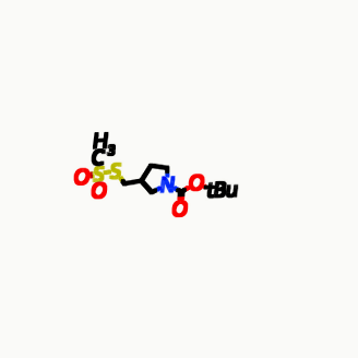 CC(C)(C)OC(=O)N1CCC(CSS(C)(=O)=O)C1